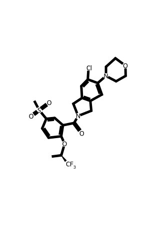 C[C@@H](Oc1ccc(S(C)(=O)=O)cc1C(=O)N1Cc2cc(Cl)c(N3CCOCC3)cc2C1)C(F)(F)F